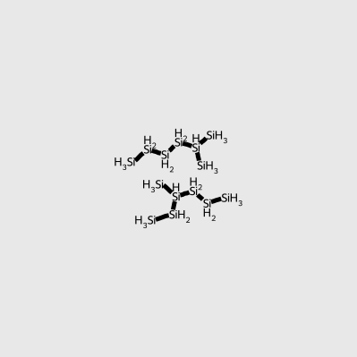 [SiH3][SiH2][SiH2][SiH2][SiH]([SiH3])[SiH3].[SiH3][SiH2][SiH2][SiH]([SiH3])[SiH2][SiH3]